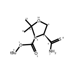 CC(C)(C)OC(=O)N1[C@H](C(N)=S)COC1(C)C